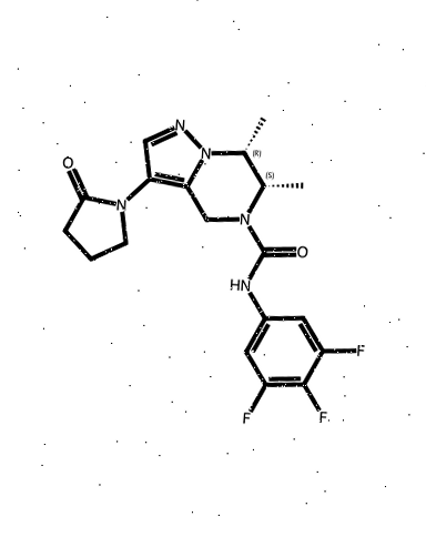 C[C@@H]1[C@H](C)N(C(=O)Nc2cc(F)c(F)c(F)c2)Cc2c(N3CCCC3=O)cnn21